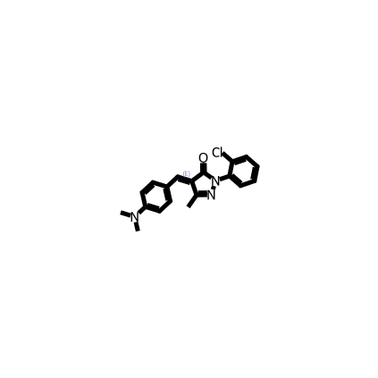 CC1=NN(c2ccccc2Cl)C(=O)/C1=C/c1ccc(N(C)C)cc1